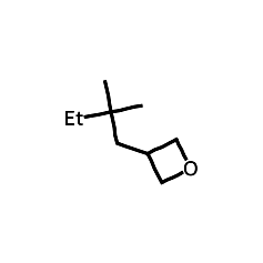 CCC(C)(C)CC1COC1